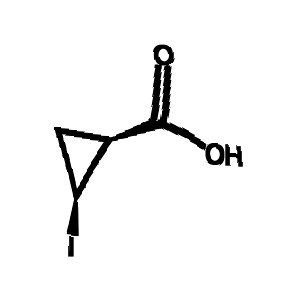 O=C(O)[C@@H]1C[C@@H]1I